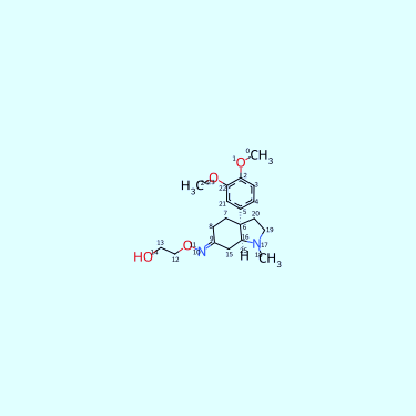 COc1ccc([C@@]23CCC(=NOCCO)C[C@@H]2N(C)CC3)cc1OC